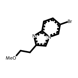 COCCc1cn2cc(Br)ccc2n1